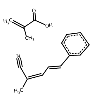 C=C(C)C(=O)O.CC(C#N)=CC=Cc1ccccc1